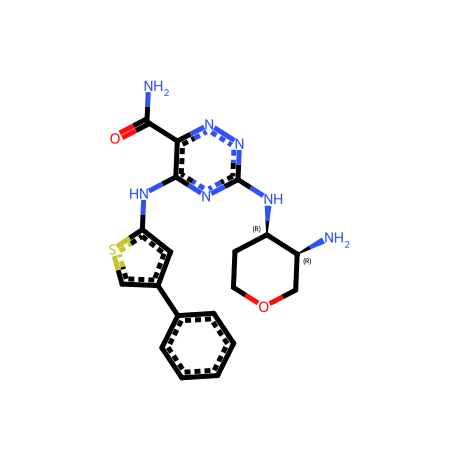 NC(=O)c1nnc(N[C@@H]2CCOC[C@@H]2N)nc1Nc1cc(-c2ccccc2)cs1